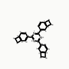 c1cc2c(cc1-c1nc(-c3ccc4c(c3)CC4)nc(-c3ccc4c(c3)CC4)n1)CC2